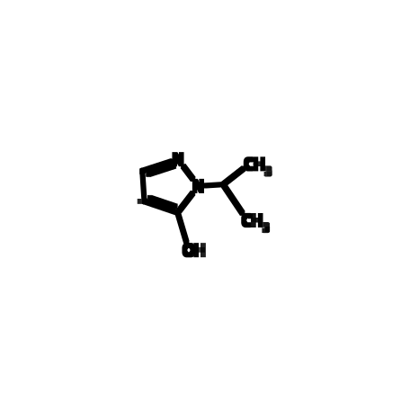 CC(C)n1nc[c]c1O